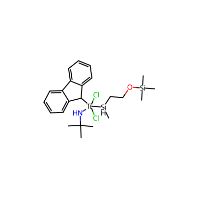 C[SiH](CCO[Si](C)(C)C)[Ti]([Cl])([Cl])([NH]C(C)(C)C)[CH]1c2ccccc2-c2ccccc21